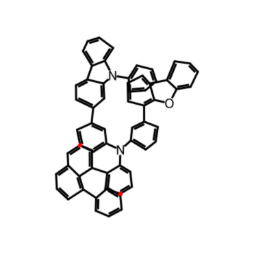 c1ccc(-c2cccc3cccc(-c4ccccc4N(c4cccc(-c5ccc6c7ccccc7n(-c7ccccc7)c6c5)c4)c4cccc(-c5cccc6c5oc5ccccc56)c4)c23)cc1